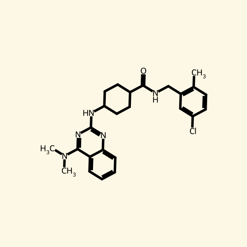 Cc1ccc(Cl)cc1CNC(=O)C1CCC(Nc2nc(N(C)C)c3ccccc3n2)CC1